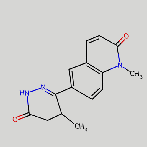 CC1CC(=O)NN=C1c1ccc2c(ccc(=O)n2C)c1